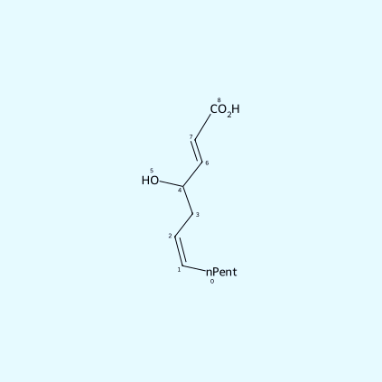 CCCCC/C=C\CC(O)/C=C/C(=O)O